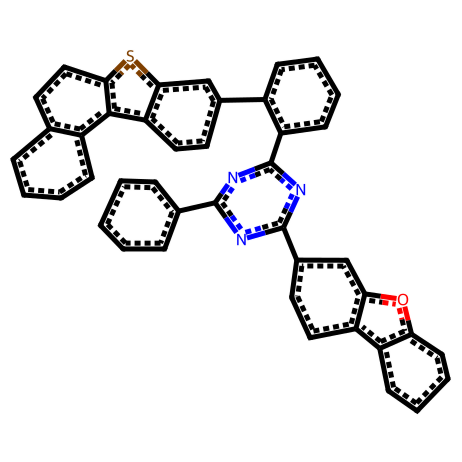 c1ccc(-c2nc(-c3ccc4c(c3)oc3ccccc34)nc(-c3ccccc3-c3ccc4c(c3)sc3ccc5ccccc5c34)n2)cc1